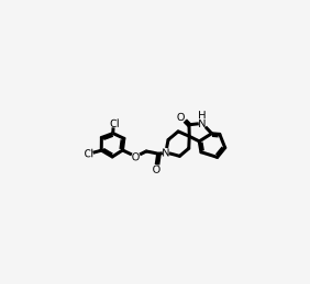 O=C(COc1cc(Cl)cc(Cl)c1)N1CCC2(CC1)C(=O)Nc1ccccc12